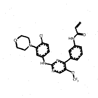 C=CC(=O)Nc1cccc(-c2nc(Nc3ccc(Cl)c(N4CCOCC4)c3)ncc2OC(F)(F)F)c1